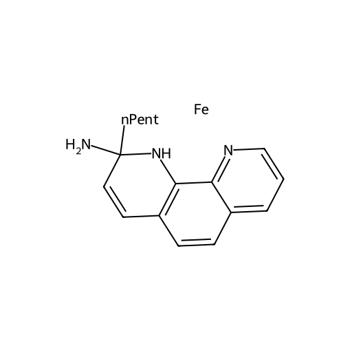 CCCCCC1(N)C=Cc2ccc3cccnc3c2N1.[Fe]